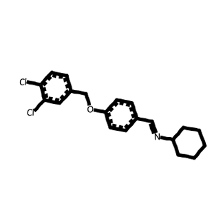 Clc1ccc(COc2ccc(C=NC3CCCCC3)cc2)cc1Cl